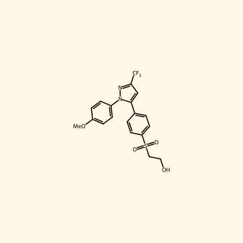 COc1ccc(-n2nc(C(F)(F)F)cc2-c2ccc(S(=O)(=O)CCO)cc2)cc1